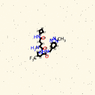 Cn1nnc2cc(CNC(=O)C3CC(C(F)(F)F)CN3C(=O)C(N)CCC(=O)NC3CCC3)ccc21